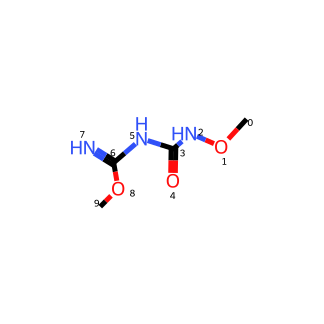 CONC(=O)NC(=N)OC